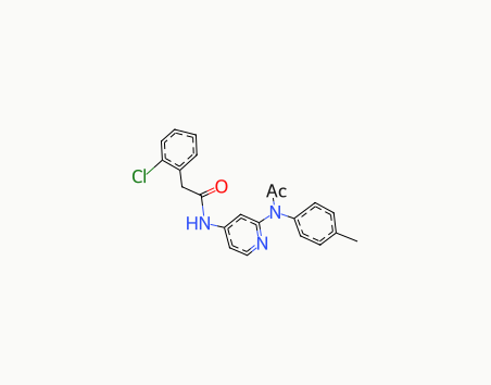 CC(=O)N(c1ccc(C)cc1)c1cc(NC(=O)Cc2ccccc2Cl)ccn1